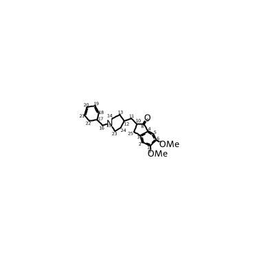 COc1cc2c(cc1OC)C(=O)C(CC1CCN(CC3C=CC=CC3)CC1)C2